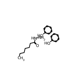 CCCCCCC(=O)NN.Oc1ccccc1.Oc1ccccc1